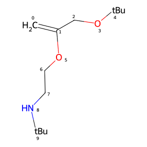 C=C(COC(C)(C)C)OCCNC(C)(C)C